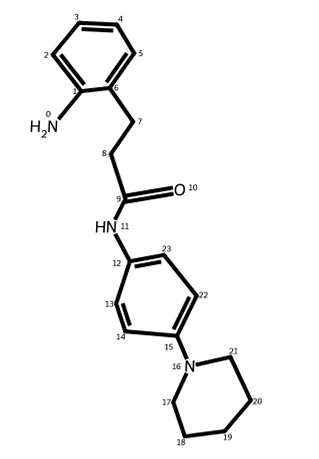 Nc1ccccc1CCC(=O)Nc1ccc(N2CCCCC2)cc1